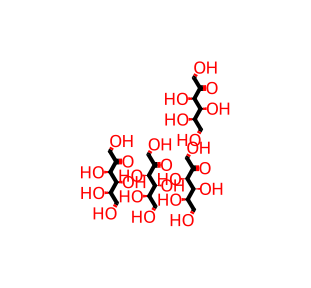 O=C(CO)[C@@H](O)[C@H](O)[C@H](O)CO.O=C(CO)[C@@H](O)[C@H](O)[C@H](O)CO.O=C(CO)[C@H](O)[C@@H](O)[C@H](O)CO.O=C(CO)[C@H](O)[C@@H](O)[C@H](O)CO